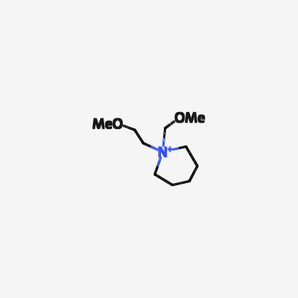 COCC[N+]1(COC)CCCCC1